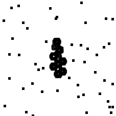 C1=C(c2c3ccccc3c(-c3cccc4ccccc34)c3ccccc23)c2sc3ccc4c5ccccc5oc4c3c2CC1